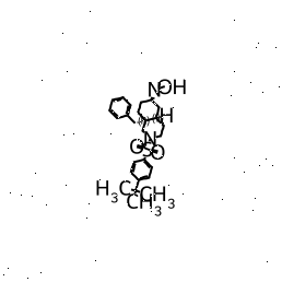 CC(C)(C)c1ccc(S(=O)(=O)N2CC[C@H]3CC(=NO)CC[C@]3(Cc3ccccc3)C2)cc1